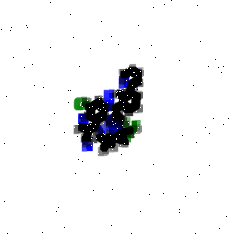 Cc1c(-c2ccccn2)cccc1[C@H](Nc1cc(Cl)c2ncc(C#N)c(NCC(C)(C)C)c2c1)c1cn(C2(C(F)(F)F)CC2)nn1